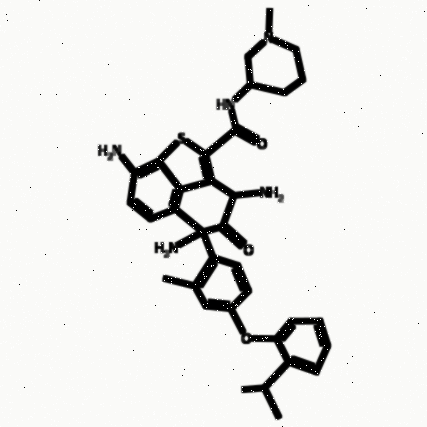 Cc1cc(Oc2ccccc2C(C)C)ccc1C1(N)C(=O)C(N)c2c(C(=O)NC3CCCN(C)C3)sc3c(N)ccc1c23